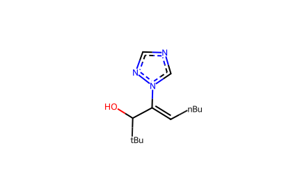 CCCC/C=C(/C(O)C(C)(C)C)n1cncn1